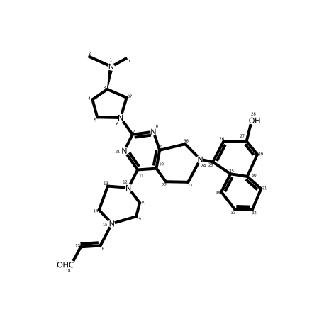 CN(C)[C@@H]1CCN(c2nc3c(c(N4CCN(C=CC=O)CC4)n2)CCN(c2cc(O)cc4ccccc24)C3)C1